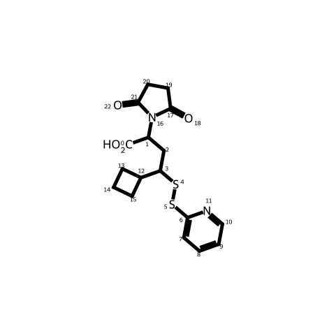 O=C(O)C(CC(SSc1ccccn1)C1CCC1)N1C(=O)CCC1=O